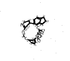 O=C1Cc2c(ccc3c2CCC3)-c2ccnc(c2)OCCc2cccc(c2)S(=O)(=O)N1